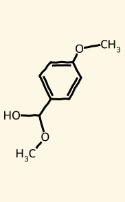 COc1ccc(C(O)OC)cc1